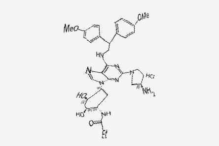 CCC(=O)N[C@H]1C[C@@H](n2cnc3c(NCC(c4ccc(OC)cc4)c4ccc(OC)cc4)nc(N4CC[C@@H](N)C4)nc32)[C@H](O)[C@@H]1O.Cl